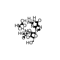 CNC(C)=O.Nc1nc2c(ncn2[C@@H]2O[C@H](CO)[C@@H](OP(=O)(O)O)[C@H]2O)c(=O)[nH]1